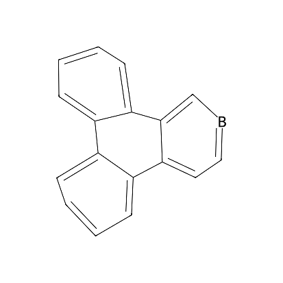 b1ccc2c(c1)c1ccccc1c1ccccc21